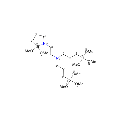 CO[Si](CCCN(CCC[Si](OC)(OC)OC)CCN1CCC[Si]1(OC)OC)(OC)OC